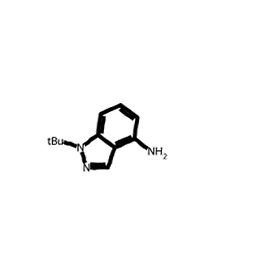 CC(C)(C)n1ncc2c(N)cccc21